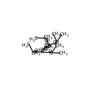 CCCCCCCCCC(C)COC(=O)CCCCCN(CCCCCCCC(=O)OC(CCCCCCCC)CCCCCCCC)CCNC(=O)CC(C)C(=O)NCCN(CCCCCCCC(=O)OC(CCCCCCCC)CCCCCCCC)CCCCCC(=O)OCC(C)CCCCCCCCC